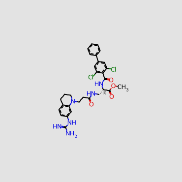 COC(=O)[C@H](CNC(=O)CCN1CCCc2ccc(NC(=N)N)cc21)NC(=O)c1c(Cl)cc(-c2ccccc2)cc1Cl